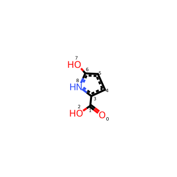 O=C(O)c1ccc(O)[nH]1